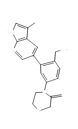 CCc1c[nH]c2ncc(-c3cc(N4CCNCC4=O)ccc3CNC)cc12